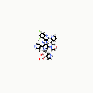 COc1cnccc1-c1ncc(N2CCOCC2)cc1Nc1c(C)c(-c2ccccn2)nc2cc(F)cc(F)c12.COc1cnccc1B(O)O